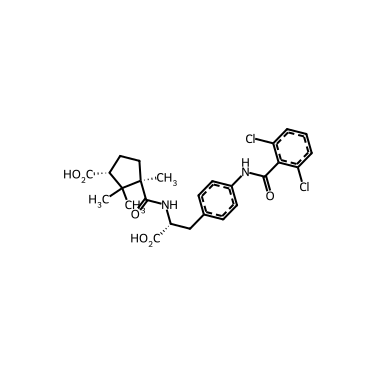 CC1(C)[C@H](C(=O)O)CC[C@@]1(C)C(=O)N[C@H](Cc1ccc(NC(=O)c2c(Cl)cccc2Cl)cc1)C(=O)O